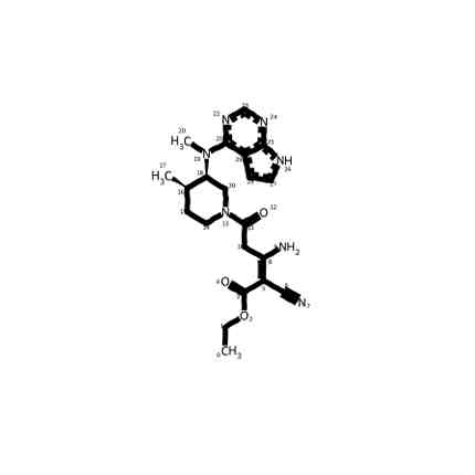 CCOC(=O)/C(C#N)=C(/N)CC(=O)N1CC[C@@H](C)[C@@H](N(C)c2ncnc3[nH]ccc23)C1